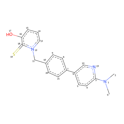 CN(C)c1ccc(-c2ccc(Cn3cccc(O)c3=S)cc2)cn1